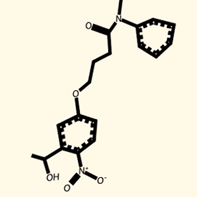 CC(O)c1cc(OCCCC(=O)N(C)c2ccccc2)ccc1[N+](=O)[O-]